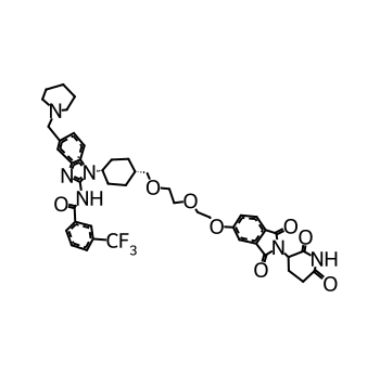 O=C1CCC(N2C(=O)c3ccc(OCCOCCOC[C@H]4CC[C@@H](n5c(NC(=O)c6cccc(C(F)(F)F)c6)nc6cc(CN7CCCCC7)ccc65)CC4)cc3C2=O)C(=O)N1